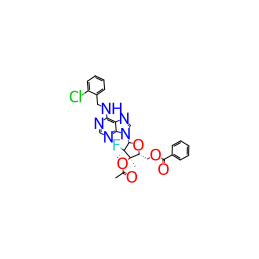 CC(=O)O[C@]1(C)[C@@H](COC(=O)c2ccccc2)O[C@@H](n2cnc3c(NCc4ccccc4Cl)ncnc32)[C@]1(C)F